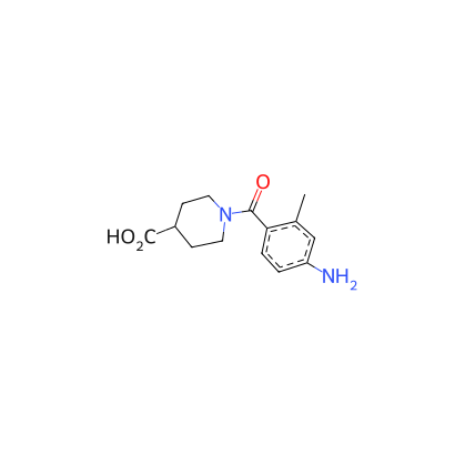 Cc1cc(N)ccc1C(=O)N1CCC(C(=O)O)CC1